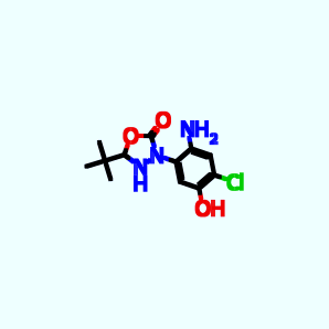 CC(C)(C)C1NN(c2cc(O)c(Cl)cc2N)C(=O)O1